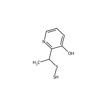 CC(SS)c1ncccc1O